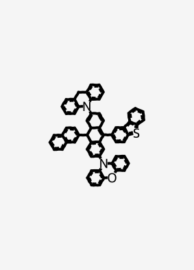 C1=CC2=C(c3ccc4sc5ccccc5c4c3)c3cc(N4c5ccccc5Oc5ccccc54)ccc3C(c3ccc4ccccc4c3)C2C=C1N1c2ccccc2Cc2ccccc21